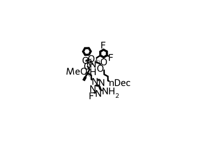 C#C[C@](CCn1cnc2c(N)nc(F)nc21)(COP(=O)(N[C@@H](Cc1cc(F)cc(F)c1)C(=O)OCCCCCCCCCCCCCC)Oc1ccccc1)OC